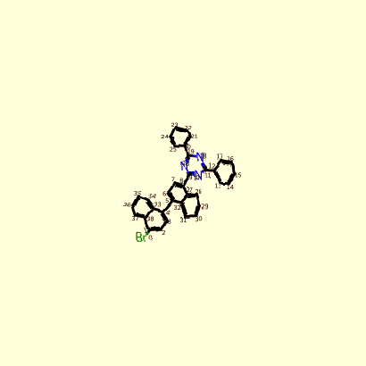 Brc1ccc(-c2ccc(-c3nc(-c4ccccc4)nc(-c4ccccc4)n3)c3ccccc23)c2ccccc12